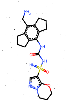 N=S(=O)(NC(=O)Nc1c2c(c(CN)c3c1CCC3)CCC2)c1cnn2c1OCCC2